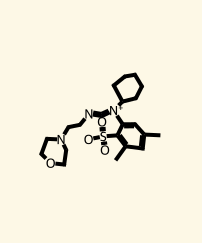 Cc1cc(C)c(S(=O)(=O)[O-])c([N+](=C=NCCN2CCOCC2)C2CCCCC2)c1